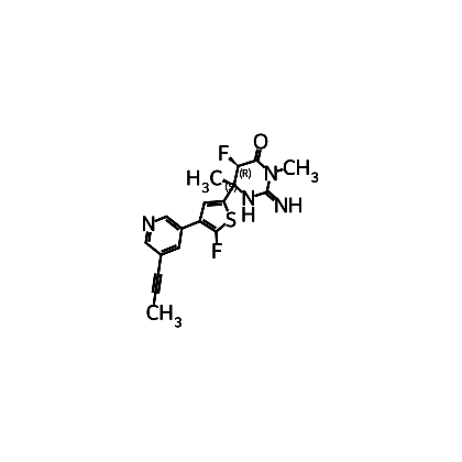 CC#Cc1cncc(-c2cc([C@@]3(C)NC(=N)N(C)C(=O)[C@@H]3F)sc2F)c1